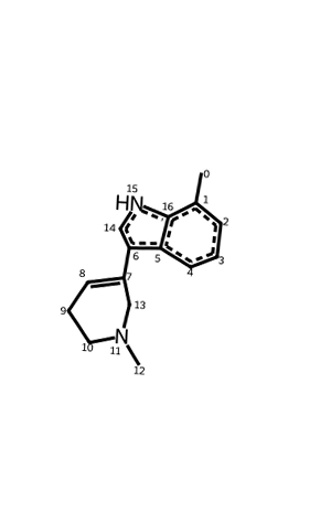 Cc1cccc2c(C3=CCCN(C)C3)c[nH]c12